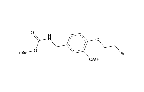 CCCCOC(=O)NCc1ccc(OCCBr)c(OC)c1